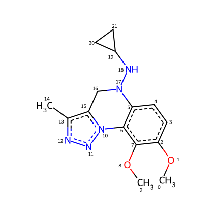 COc1ccc2c(c1OC)-n1nnc(C)c1CN2NC1CC1